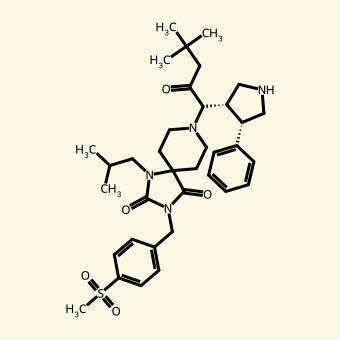 CC(C)CN1C(=O)N(Cc2ccc(S(C)(=O)=O)cc2)C(=O)C12CCN(C(C(=O)CC(C)(C)C)[C@@H]1CNC[C@@H]1c1ccccc1)CC2